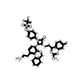 C=CCc1ccc([C@@H]2[C@@H](CCC(OC(C)=O)c3ccc(F)cc3)C(=O)N2c2ccc(OS(=O)(=O)C(F)(F)F)cc2)c(OCc2ccccc2)c1